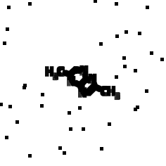 Cc1cnc2nc(C)cnc2n1